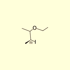 CCOC(C)[C@H](C)I